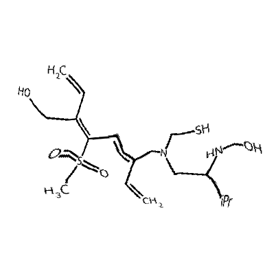 C=C/C(CO)=C(\C=C(/C=C)N(CS)CC(NO)C(C)C)S(C)(=O)=O